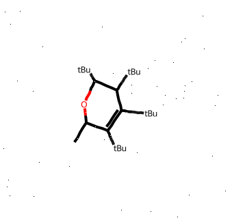 CC1OC(C(C)(C)C)C(C(C)(C)C)C(C(C)(C)C)=C1C(C)(C)C